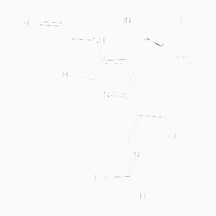 C=CCNc1c(C(=N)C(=C)C)cc(/C(C=C)=C/N=C(C)C)nc1C